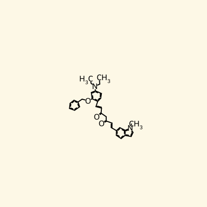 CCN(CC)c1ccc(C=CC(=O)CC(=O)C=Cc2ccc3ccn(C)c3c2)c(OCc2ccccc2)c1